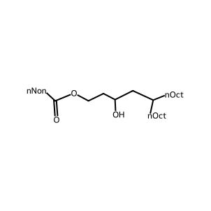 CCCCCCCCCC(=O)OCCC(O)CC(CCCCCCCC)CCCCCCCC